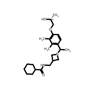 Cc1c(OC[C@@H](C)O)ccc(C(C)N2CC(CNC(=O)C3CCCCC3)C2)c1C